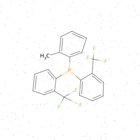 Cc1ccccc1P(c1ccccc1C(F)(F)F)c1ccccc1C(F)(F)F